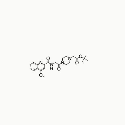 COc1cc(C(=O)NCC(=O)N2CCN(CC(=O)OC(C)(C)C)CC2)nc2ccccc12